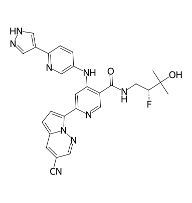 CC(C)(O)[C@H](F)CNC(=O)c1cnc(-c2ccc3cc(C#N)cnn23)cc1Nc1ccc(-c2cn[nH]c2)nc1